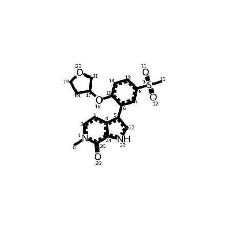 Cn1ccc2c(-c3cc(S(C)(=O)=O)ccc3OC3CCOC3)c[nH]c2c1=O